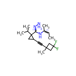 C/C=C(/C)N/C(=N\N)C1(C(C)C)CC1C#CC1(C)CC(F)(F)C1